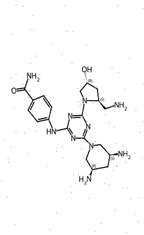 NC[C@@H]1C[C@@H](O)CN1c1nc(Nc2ccc(C(N)=O)cc2)nc(N2C[C@H](N)C[C@H](N)C2)n1